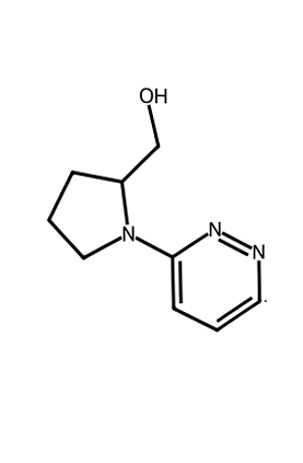 OCC1CCCN1c1cc[c]nn1